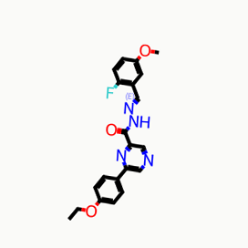 CCOc1ccc(-c2cncc(C(=O)N/N=C/c3cc(OC)ccc3F)n2)cc1